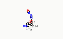 COc1ccc2[nH]c(C)c(CC(=O)O)c2c1-c1ccccc1C(=O)OCCN1CCN(CCN2CCOCC2)CC1